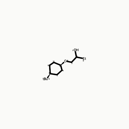 CCC(O)CO[C@H]1CC[C@@H](C(C)(C)C)CC1